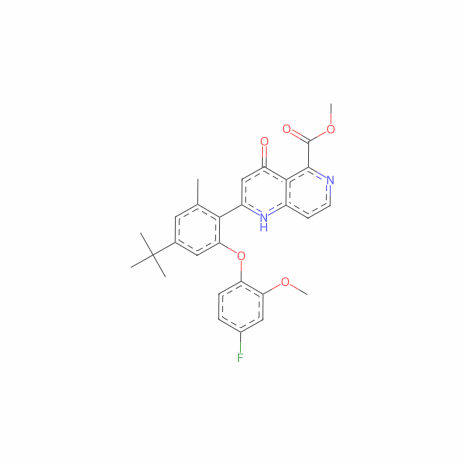 COC(=O)c1nccc2[nH]c(-c3c(C)cc(C(C)(C)C)cc3Oc3ccc(F)cc3OC)cc(=O)c12